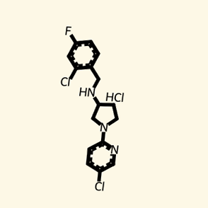 Cl.Fc1ccc(CNC2CCN(c3ccc(Cl)cn3)C2)c(Cl)c1